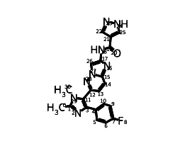 Cc1nc(-c2ccc(F)cc2)c(-c2ccc3nc(NC(=O)c4cn[nH]c4)cn3n2)n1C